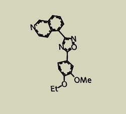 CCOc1ccc(-c2nc(-c3cccc4cnccc34)no2)cc1OC